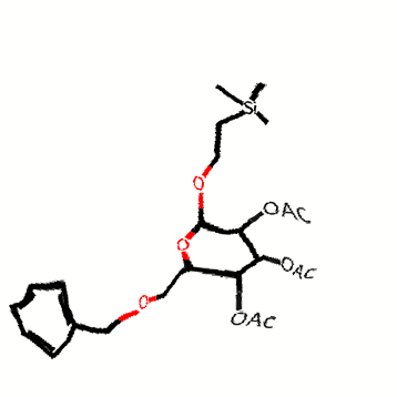 CC(=O)OC1C(COCc2ccccc2)OC(OCC[Si](C)(C)C)C(OC(C)=O)C1OC(C)=O